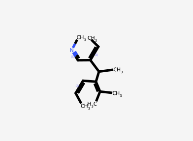 C/C=C\C(=C(C)C)C(C)C(/C=N\C)=C/C